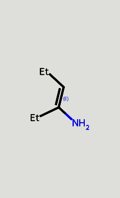 CC/C=C(/N)CC